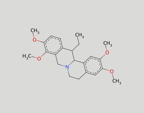 CCC1c2ccc(OC)c(OC)c2CN2CCc3cc(OC)c(OC)cc3C12